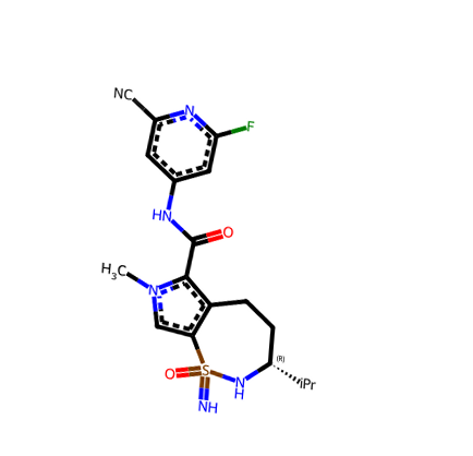 CC(C)[C@H]1CCc2c(cn(C)c2C(=O)Nc2cc(F)nc(C#N)c2)S(=N)(=O)N1